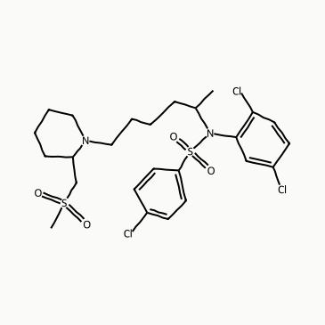 CC(CCCCN1CCCCC1CS(C)(=O)=O)N(c1cc(Cl)ccc1Cl)S(=O)(=O)c1ccc(Cl)cc1